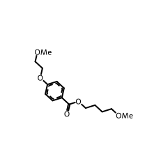 COCCCCOC(=O)c1ccc(OCCOC)cc1